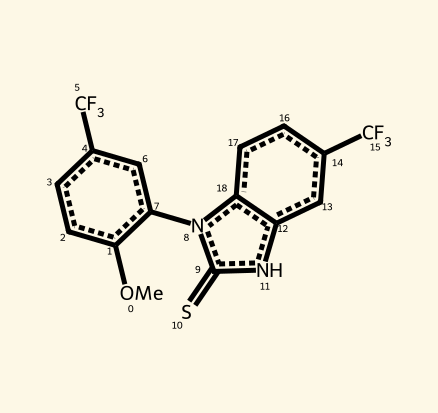 COc1ccc(C(F)(F)F)cc1-n1c(=S)[nH]c2cc(C(F)(F)F)ccc21